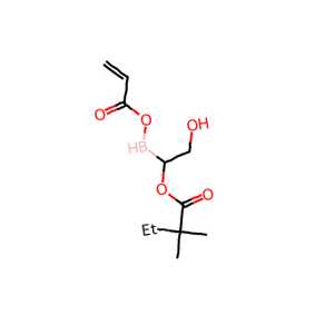 C=CC(=O)OBC(CO)OC(=O)C(C)(C)CC